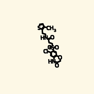 Cc1ccsc1CCNC(=O)CCS(=O)(=O)c1cc2c(cc1Cl)NC(=O)CO2